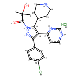 CC(C)(O)C(=O)n1nc(-c2ccc(Cl)cc2)c(-c2ccncn2)c1C1CCNCC1.Cl